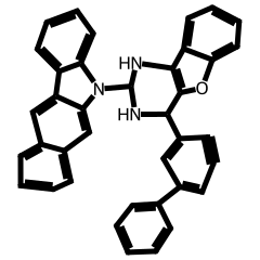 c1cc(-c2ccccc2)cc(C2NC(n3c4ccccc4c4cc5ccccc5cc43)Nc3c2oc2ccccc32)c#1